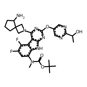 CC(O)c1ncc(Oc2nc(N3CC4(CCCC4N)C3)c3c(n2)[nH]c2c(N(C)C(=O)OC(C)(C)C)cc(F)c(F)c23)cn1